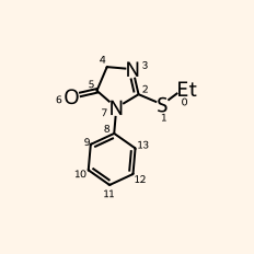 CCSC1=NCC(=O)N1c1ccccc1